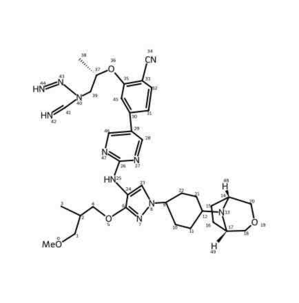 COCC(C)COc1nn(C2CCC(N3[C@@H]4CC[C@H]3COC4)CC2)cc1Nc1ncc(-c2ccc(C#N)c(O[C@@H](C)CN(C=N)N=N)c2)cn1